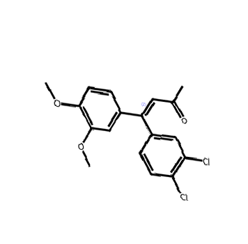 COc1ccc(/C(=C/C(C)=O)c2ccc(Cl)c(Cl)c2)cc1OC